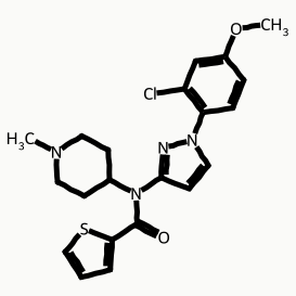 COc1ccc(-n2ccc(N(C(=O)c3cccs3)C3CCN(C)CC3)n2)c(Cl)c1